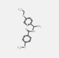 CC(NC(=O)c1ccc(OC(F)(F)F)cc1)c1ccc(OCC(F)(F)F)cn1